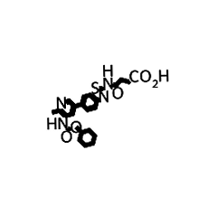 Cc1ncc(-c2ccc3nc(NC(=O)CCC(=O)O)sc3c2)cc1NC(=O)OC1CCCCC1